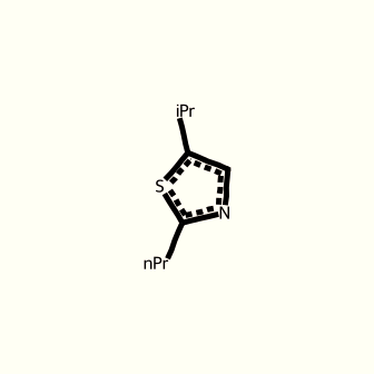 CCCc1ncc(C(C)C)s1